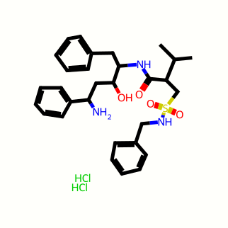 CC(C)C(CS(=O)(=O)NCc1ccccc1)C(=O)NC(Cc1ccccc1)C(O)CC(N)c1ccccc1.Cl.Cl